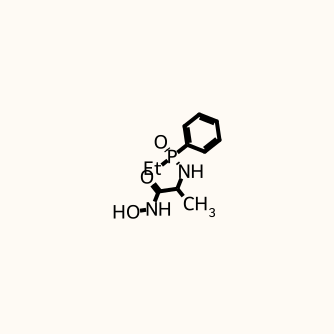 CCP(=O)(NC(C)C(=O)NO)c1ccccc1